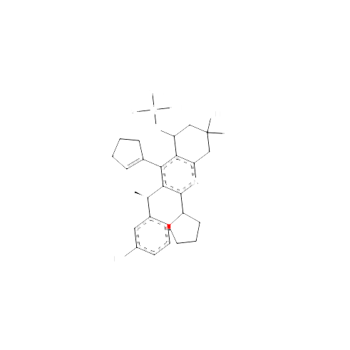 CC1(C)Cc2nc(C3CCCC3)c([C@H](O)c3cccc(C(C)(C)C)c3)c(C3=CCCC3)c2C(O[Si](C)(C)C(C)(C)C)C1